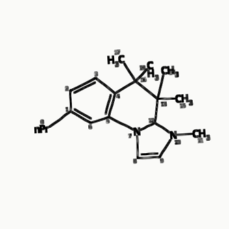 CCCc1ccc2c(c1)N1C=CN(C)C1C(C)(C)C2(C)C